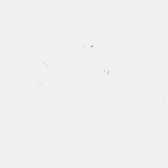 CC(=O)n1ccc(O[C@@H](C)CNC(=O)OC(C)(C)C)n1